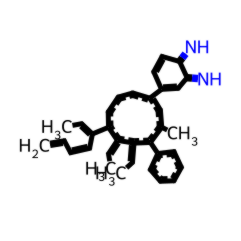 C=C/C=C\C(=C/C)c1cccc(C2=CC(=N)C(=N)C=C2)cc(C)c(-c2ccccc2)c(=C/C)/c1=C\C